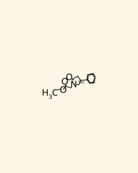 CCOC(=O)CN1C[C@H](c2ccccc2)CC1=O